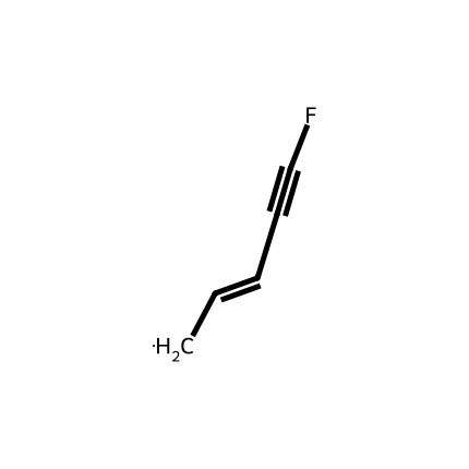 [CH2]/C=C/C#CF